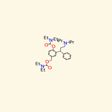 CCN(CC)C(=O)OCc1ccc(OC(=O)N(CC)CC)c(C(CCN(C(C)C)C(C)C)c2ccccc2)c1